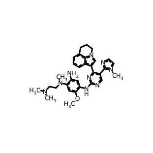 COc1cc(N(C)CCN(C)C)c(N)cc1Nc1ncc(-c2nccn2C)c(-c2cn3c4c(cccc24)CCC3)n1